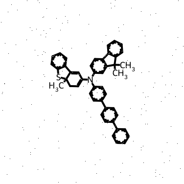 CC12CC=C(N(c3ccc(-c4ccc(-c5ccccc5)cc4)cc3)c3ccc4c(c3)C(C)(C)c3ccccc3-4)C=C1c1ccccc1S2